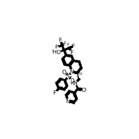 O=C(NC[C@@H]1CCc2cc(C(O)(C(F)(F)F)C(F)(F)F)ccc2N1S(=O)(=O)c1ccc(F)cc1)c1ccncc1